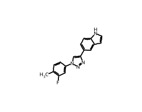 Cc1ccc(-n2cc(-c3ccc4[nH]ccc4c3)nn2)cc1F